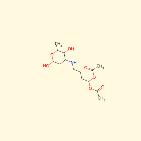 CC(=O)OC(CCCNC1CC(O)OC(C)C1O)OC(C)=O